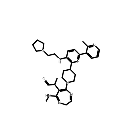 CNC1=NCC=NC(N2CCC(c3nc(-c4cccnc4C)ccc3NCCN3CCCC3)CC2)=C1C(C)C=O